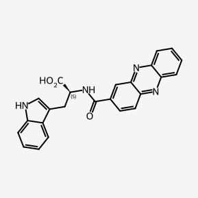 O=C(N[C@@H](Cc1c[nH]c2ccccc12)C(=O)O)c1ccc2nc3ccccc3nc2c1